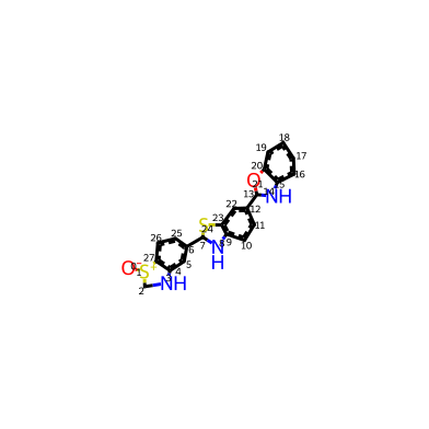 [O-][S+]1CNc2cc(C3Nc4ccc(C5Nc6ccccc6O5)cc4S3)ccc21